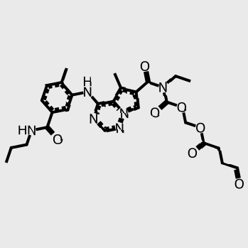 CCCNC(=O)c1ccc(C)c(Nc2ncnn3cc(C(=O)N(CC)C(=O)OCOC(=O)CCC=O)c(C)c23)c1